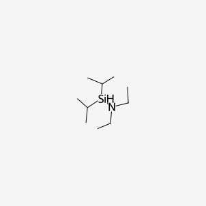 CCN(CC)[SiH](C(C)C)C(C)C